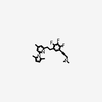 Cc1cc(CCc2cc(C#CCN(C)C)c(F)c(F)c2F)nc(-n2c(C)ccc2C)c1